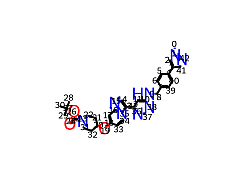 Cn1cc(-c2ccc(CNc3cc(-c4cnc5cc(OC6CCN(C(=O)OC(C)(C)C)CC6)ccn45)ncn3)cc2)cn1